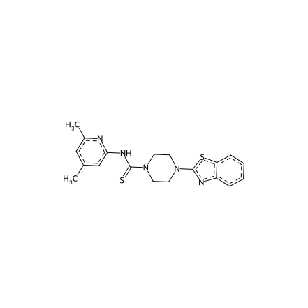 Cc1cc(C)nc(NC(=S)N2CCN(c3nc4ccccc4s3)CC2)c1